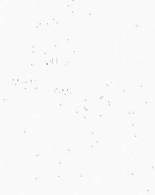 COc1cc(O)c(C(=O)C=Cc2cc(OCc3ccccc3)c(OCc3ccccc3)c(OCc3ccccc3)c2)c(OC)c1